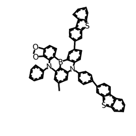 Cc1cc2c3c(c1)N(c1ccccc1)c1c(ccc4c1OCO4)B3c1cc(-c3ccc4c(c3)sc3ccccc34)ccc1N2c1ccc(-c2ccc3c(c2)sc2ccccc23)cc1